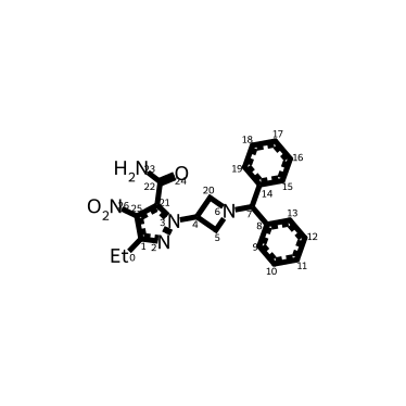 CCc1nn(C2CN(C(c3ccccc3)c3ccccc3)C2)c(C(N)=O)c1[N+](=O)[O-]